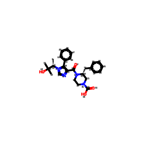 C[C@H](n1cnc(C(=O)N2CCN(C(=O)O)C[C@H]2Cc2ccccc2)c1-c1ccccc1)C(C)(C)O